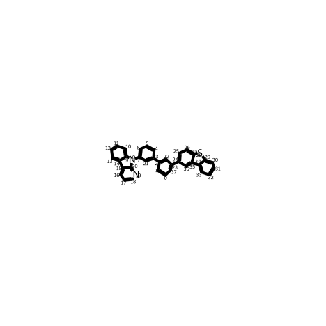 c1cc(-c2cccc(-n3c4ccccc4c4cccnc43)c2)cc(-c2ccc3sc4ccccc4c3c2)c1